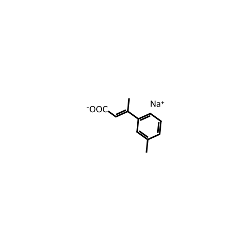 CC(=CC(=O)[O-])c1cccc(C)c1.[Na+]